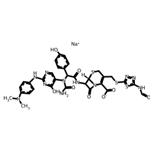 CN(C)c1ccc(Nc2ncc(N(C(N)=O)C(C(=O)NC3C(=O)N4C(C(=O)[O-])=C(CSc5nnc(NC=O)s5)CS[C@@H]34)c3ccc(O)cc3)c(O)n2)cc1.[Na+]